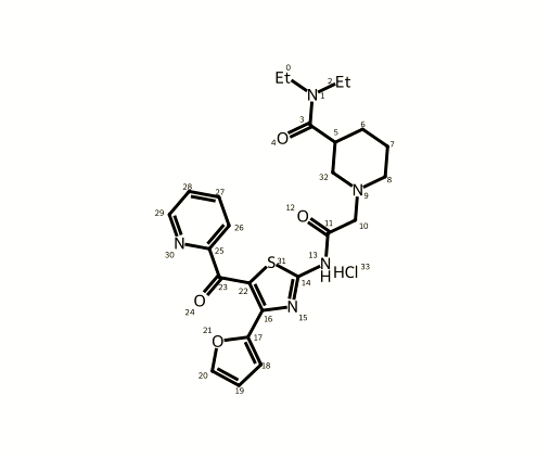 CCN(CC)C(=O)C1CCCN(CC(=O)Nc2nc(-c3ccco3)c(C(=O)c3ccccn3)s2)C1.Cl